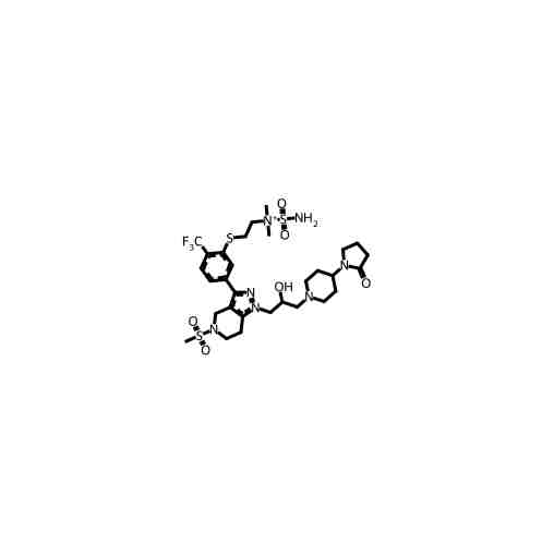 C[N+](C)(CCSc1cc(-c2nn(CC(O)CN3CCC(N4CCCC4=O)CC3)c3c2CN(S(C)(=O)=O)CC3)ccc1C(F)(F)F)S(N)(=O)=O